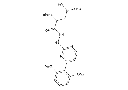 CCCCCC(CN(O)C=O)C(=O)NNc1nccc(-c2c(OC)cccc2OC)n1